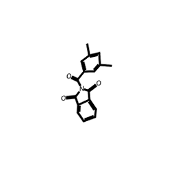 Cc1cc(C)cc(C(=O)N2C(=O)c3ccccc3C2=O)c1